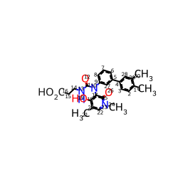 Cc1ccc(-c2cccc(N(C(=O)NCCC(=O)O)c3c(O)c(C)cn(C)c3=O)c2)cc1C